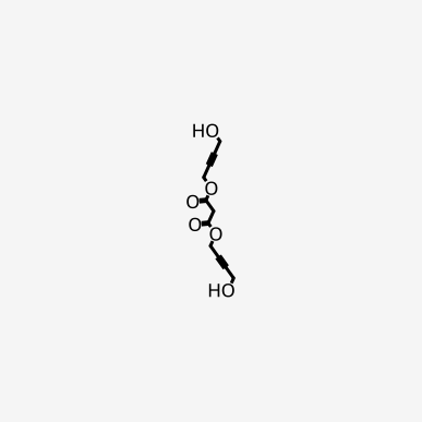 O=C(CC(=O)OCC#CCO)OCC#CCO